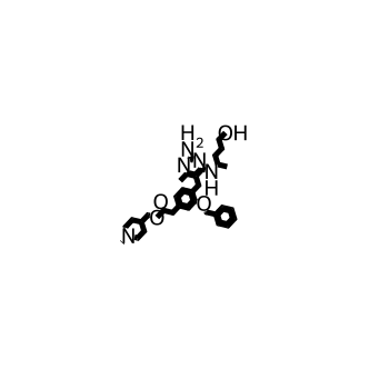 Cc1nc(N)nc(NC(C)CCCO)c1Cc1ccc(CC(=O)OCC2CCN(C)CC2)cc1OCc1ccccc1